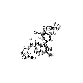 CNC(=O)[C@]1(C)CC[C@@H](Nc2ncc3c(Br)nn(-c4cc(Cl)c(F)c(CS(C)(=O)=O)c4)c3n2)C1